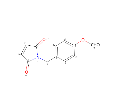 O=COc1ccc(CN2C(=O)C=CC2=O)cc1